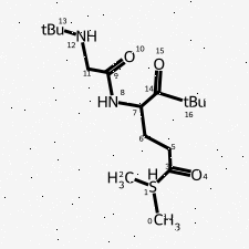 C[SH](C)C(=O)CCC(NC(=O)CNC(C)(C)C)C(=O)C(C)(C)C